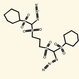 [N-]=[N+]=NC(S(=O)(=O)CCCS(=O)(=O)C(N=[N+]=[N-])S(=O)(=O)C1CCCCC1)S(=O)(=O)C1CCCCC1